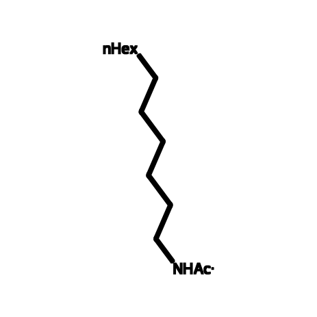 CCCCCCCCCCCC[N]C(C)=O